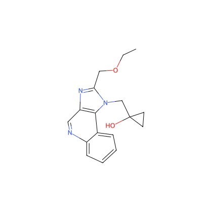 CCOCc1nc2cnc3ccccc3c2n1CC1(O)CC1